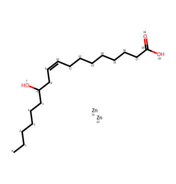 CCCCCCC(O)C/C=C\CCCCCCCC(=O)O.[Zn].[Zn]